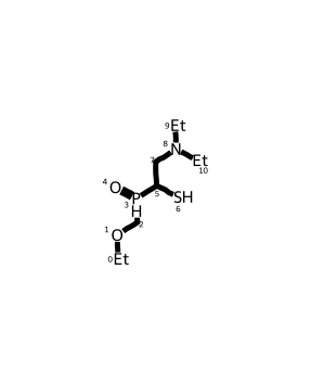 CCOC[PH](=O)C(S)CN(CC)CC